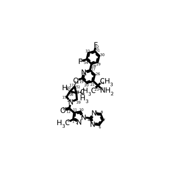 Cc1nn(-c2ncccn2)cc1C(=O)N1C[C@H]2[C@H](Oc3cc(C(C)(C)N)cc(-c4ccc(F)cc4F)n3)[C@@]2(C)C1